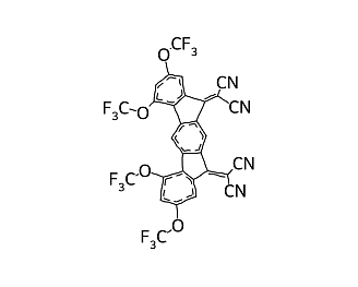 N#CC(C#N)=C1c2cc3c(cc2-c2c(OC(F)(F)F)cc(OC(F)(F)F)cc21)-c1c(OC(F)(F)F)cc(OC(F)(F)F)cc1C3=C(C#N)C#N